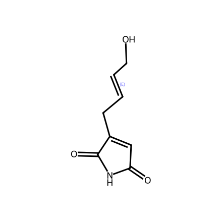 O=C1C=C(C/C=C/CO)C(=O)N1